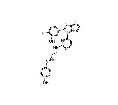 Oc1ccc(SNCCNc2nccc(-c3c(-c4ccc(F)c(O)c4)nc4occn34)n2)cc1